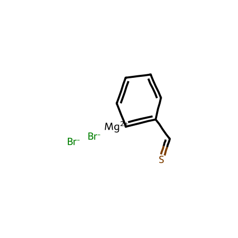 S=Cc1ccccc1.[Br-].[Br-].[Mg+2]